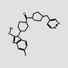 CCOc1nc2cc(F)ccc2n1C1CCN(C(=O)C2CCN(Cc3ccnnc3)CC2)CC1